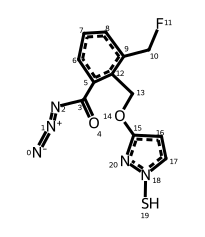 [N-]=[N+]=NC(=O)c1cccc(CF)c1COc1ccn(S)n1